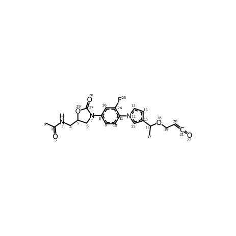 CC(=O)NCC1CN(c2ccc(-n3ccc(C(C)OCC=C=O)c3)c(F)c2)C(=O)O1